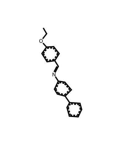 CCOc1ccc(C=Nc2ccc(-c3ccccc3)cc2)cc1